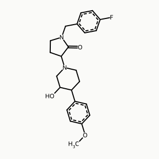 COc1ccc(C2CCN(C3CCN(Cc4ccc(F)cc4)C3=O)CC2O)cc1